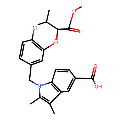 COC(=O)[C@@H](Oc1cc(Cn2c(C)c(C)c3cc(C(=O)O)ccc32)ccc1Cl)C(C)C